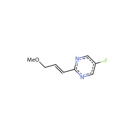 COCC=Cc1ncc(F)cn1